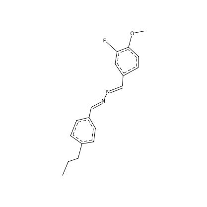 CCCc1ccc(/C=N/N=C/c2ccc(OC)c(F)c2)cc1